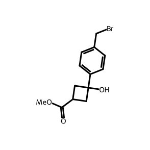 COC(=O)C1CC(O)(c2ccc(CBr)cc2)C1